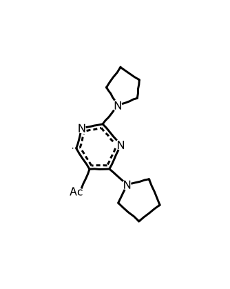 CC(=O)c1[c]nc(N2CCCC2)nc1N1CCCC1